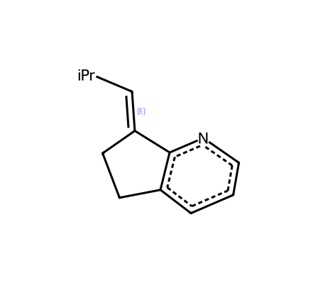 CC(C)/C=C1\CCc2cccnc21